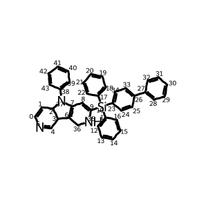 C1=CC2C(C=N1)C1=C(C=C([Si](c3ccccc3)(c3ccccc3)c3ccc(-c4ccccc4)cc3)NC1)N2c1ccccc1